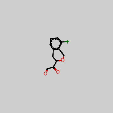 O=CC(=O)C1Cc2cccc(F)c2CO1